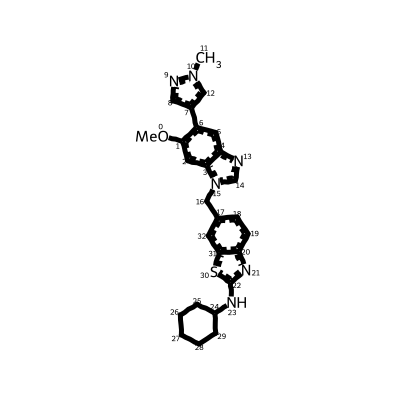 COc1cc2c(cc1-c1cnn(C)c1)ncn2Cc1ccc2nc(NC3CCCCC3)sc2c1